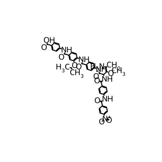 C=C(N)C(OC)C(NC(=O)c1ccc(NC(=O)c2ccc([N+](=O)[O-])cc2)cc1)C(=O)Nc1ccc(C(=O)Nc2ccc(C(=O)Nc3ccc(C(=O)O)cc3)cc2OC(C)C)cc1